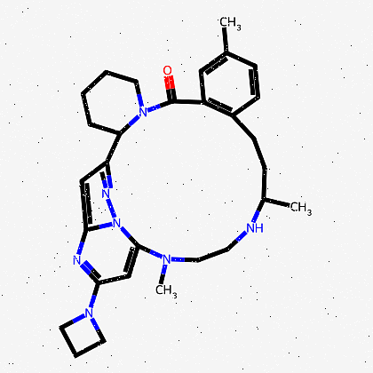 Cc1ccc2c(c1)C(=O)N1CCCCC1c1cc3nc(N4CCC4)cc(n3n1)N(C)CCNC(C)CC2